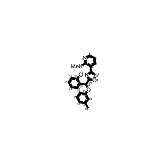 CNc1ncccc1-c1noc(C(Oc2cccc(C)c2)c2ccccc2Cl)n1